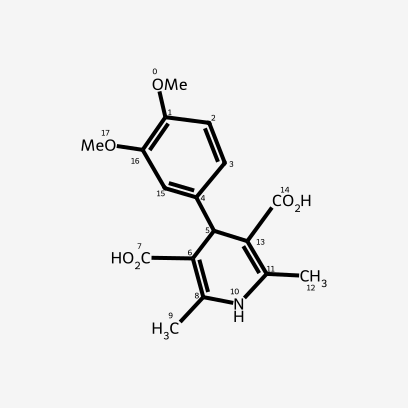 COc1ccc(C2C(C(=O)O)=C(C)NC(C)=C2C(=O)O)cc1OC